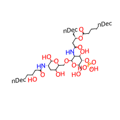 CCCCCCCCCCCCCC(=O)O[C@H](CCCCCCCCCCC)CC(=O)N[C@H]1C(O)[C@H](OP(=O)(O)O)C(CO)O[C@H]1OCC1O[C@H](O)[C@@H](NC(=O)C[C@H](O)CCCCCCCCCCC)C[C@@H]1O